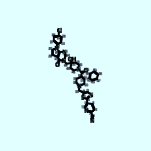 N#Cc1ccc(-c2ncc(CN3CC[C@@H](C(=O)N4CCC(O)(Cn5cnc6c(ccn6-c6ccc(Cl)cc6)c5=O)CC4)[C@H](c4ccccc4)C3)s2)cn1